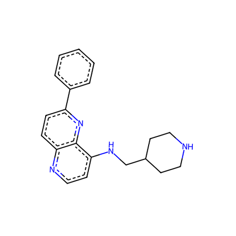 c1ccc(-c2ccc3nccc(NCC4CCNCC4)c3n2)cc1